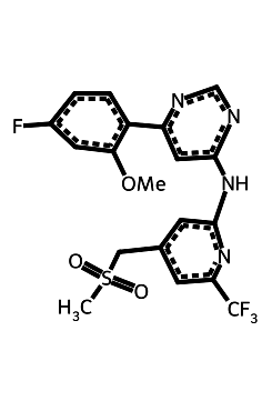 COc1cc(F)ccc1-c1cc(Nc2cc(CS(C)(=O)=O)cc(C(F)(F)F)n2)ncn1